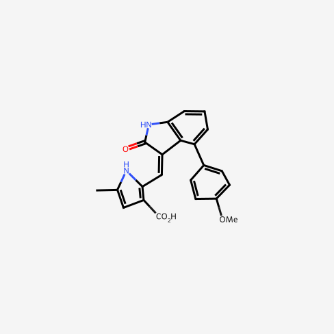 COc1ccc(-c2cccc3c2/C(=C/c2[nH]c(C)cc2C(=O)O)C(=O)N3)cc1